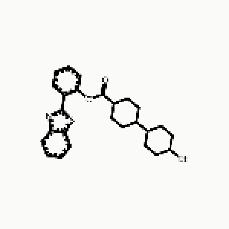 CCC1CCC(C2CCC(C(=O)Oc3ccccc3-c3nc4ccccc4s3)CC2)CC1